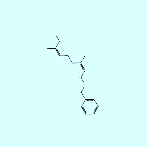 CC(=CCCC(C)=CCOCc1ccccc1)CO